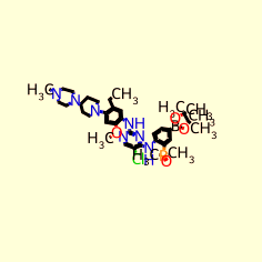 CCc1cc(Nc2ncc(Cl)c(Nc3ccc(B4OC(C)(C)C(C)(C)O4)cc3P(C)(C)=O)n2)c(OC)cc1N1CCC(N2CCN(C)CC2)CC1